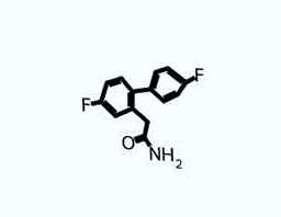 NC(=O)Cc1cc(F)ccc1-c1ccc(F)cc1